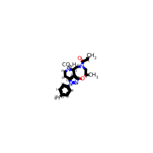 C=CC(=O)N1CC(C)Oc2nn(-c3ccc(C(C)C)cc3)c3c2C(C1)N(C(=O)O)CC3